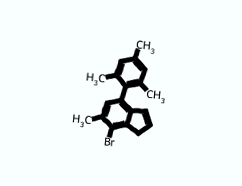 Cc1cc(C)c(-c2cc(C)c(Br)c3c2C=CC3)c(C)c1